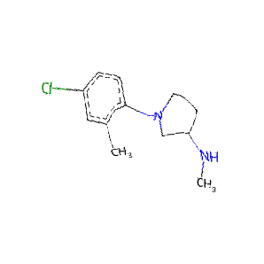 CNC1CCN(c2ccc(Cl)cc2C)C1